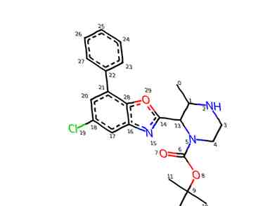 CC1NCCN(C(=O)OC(C)(C)C)C1c1nc2cc(Cl)cc(-c3ccccc3)c2o1